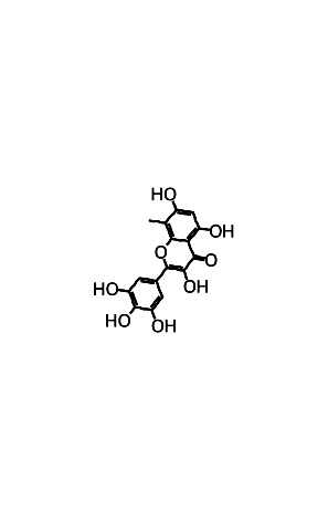 Cc1c(O)cc(O)c2c(=O)c(O)c(-c3cc(O)c(O)c(O)c3)oc12